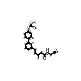 CC(CCc1cccc(-c2ccc(NC(=O)O)cc2)c1)CC(=O)NCC#N